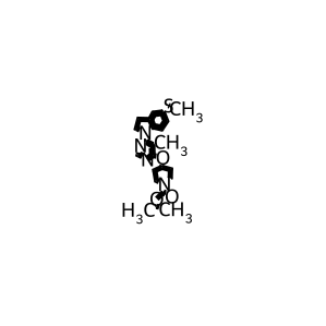 CSc1ccc2c(c1)CCN2c1ncnc(OC2CCN(C(=O)OC(C)C)CC2)c1C